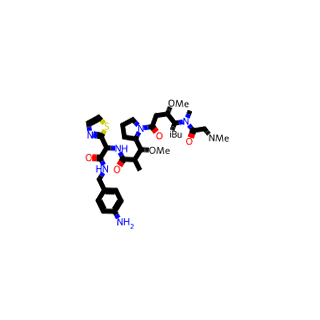 CCC(C)C(C(CC(=O)N1CCCC1C(OC)C(C)C(=O)NC(C(=O)NCc1ccc(N)cc1)c1nccs1)OC)N(C)C(=O)CNC